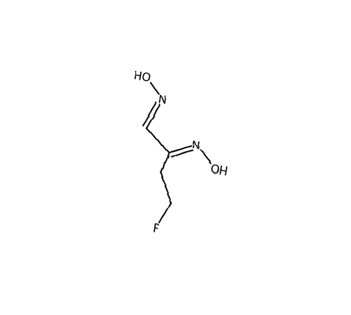 ON=CC(CCF)=NO